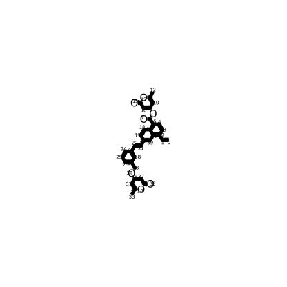 C=Cc1ccc(C(=O)Oc2cc(C)oc(=O)c2)c2ccc(/C=C/c3cccc(COc4cc(C)oc(=O)c4)c3)cc12